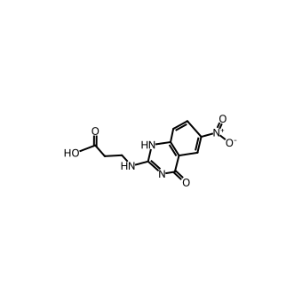 O=C(O)CCNc1nc(=O)c2cc([N+](=O)[O-])ccc2[nH]1